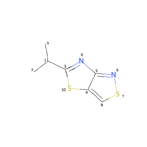 CC(C)c1nc2nscc2s1